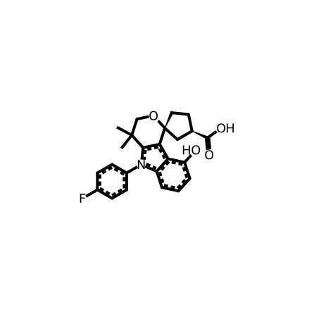 CC1(C)CO[C@@]2(CC[C@@H](C(=O)O)C2)c2c1n(-c1ccc(F)cc1)c1cccc(O)c21